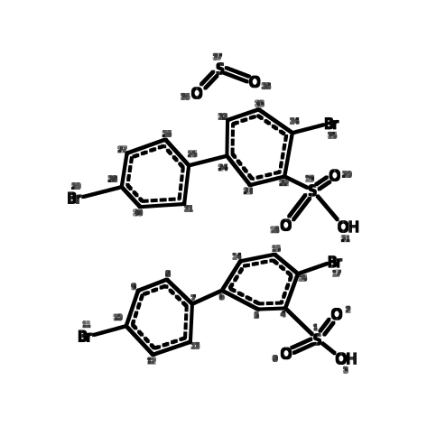 O=S(=O)(O)c1cc(-c2ccc(Br)cc2)ccc1Br.O=S(=O)(O)c1cc(-c2ccc(Br)cc2)ccc1Br.O=S=O